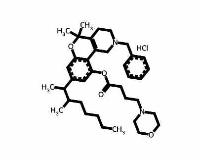 CCCCCC(C)C(C)c1cc(OC(=O)CCCN2CCOCC2)c2c(c1)OC(C)(C)C1=C2CN(Cc2ccccc2)CC1.Cl